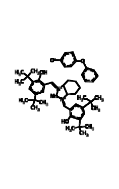 CC(C)(C)c1cc(C=[N+]2[Mn][N+](=Cc3cc(C(C)(C)C)cc(C(C)(C)C)c3O)C3CCCCC32)c(O)c(C(C)(C)C)c1.[O-]c1ccc(Oc2ccccc2)cc1